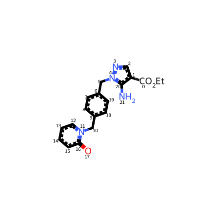 CCOC(=O)c1cnn(Cc2ccc(Cn3ccccc3=O)cc2)c1N